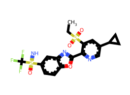 CCS(=O)(=O)c1cc(C2CC2)cnc1-c1nc2cc(S(=N)(=O)C(F)(F)F)ccc2o1